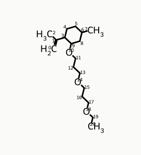 C=C(C)C1CCC(C)CC1OCCCOCCCOCC